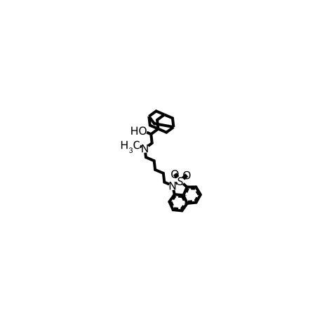 CN(CCCCCN1c2cccc3cccc(c23)S1(=O)=O)CC(O)C12CC3CC(CC(C3)C1)C2